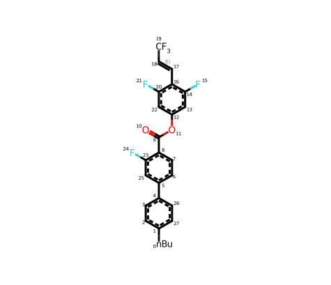 CCCCc1ccc(-c2ccc(C(=O)Oc3cc(F)c(/C=C/C(F)(F)F)c(F)c3)c(F)c2)cc1